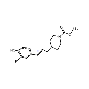 CC(C)(C)OC(=O)N1CCC(C/C=C/c2ccc(C#N)c(F)c2)CC1